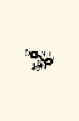 COc1ccc(C(N)c2nc(OC(C)C)nc3ccccc23)cc1